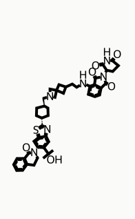 CC(C)(O)c1cc2nc([C@H]3CC[C@H](CN4CC5(CC(CCNc6cccc7c6C(=O)N(C6CCC(=O)NC6=O)C7=O)C5)C4)CC3)sc2cc1N1CCc2ccccc2C1=O